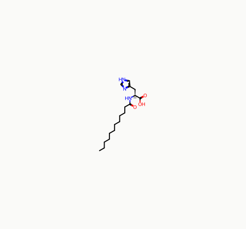 CCCCCCCCCCCC(=O)N[C@@H](Cc1c[nH]cn1)C(=O)O